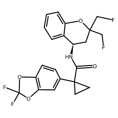 O=C(N[C@@H]1CC(CF)(CF)Oc2ccccc21)C1(c2ccc3c(c2)OC(F)(F)O3)CC1